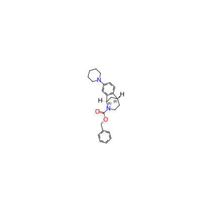 O=C(OCc1ccccc1)N1CC[C@@H]2C[C@@H]1c1cc(N3CCCCC3)ccc12